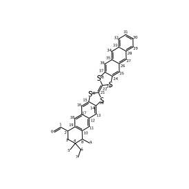 C=CC1CC(C)(CC)C(C)c2cc3cc4c(cc3cc21)SC(=C1Sc2cc3cc5ccccc5cc3cc2S1)S4